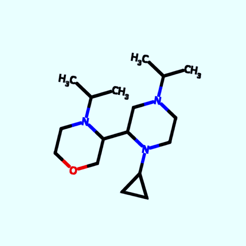 CC(C)N1CCN(C2CC2)C(C2COCCN2C(C)C)C1